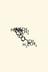 CC(C)(C)CCc1ccc(CN(CC2=CNNN2)C(=O)OC(C)(C)C)cc1